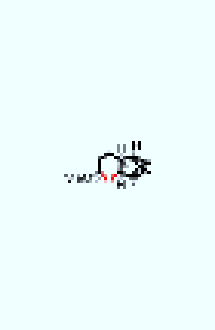 CO[C@@H]1CC[C@H]2[C@H]3CC[C@@](C)([C@H]2O1)C3(C)C